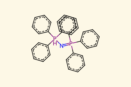 c1ccc(P(=N[PH](c2ccccc2)(c2ccccc2)c2ccccc2)(c2ccccc2)c2ccccc2)cc1